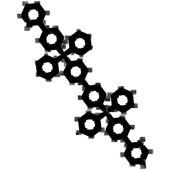 c1ccc([Si](c2ccccc2)(c2ccc(-c3ccc([Si](c4ccccc4)(c4ccccc4)c4ccc(-c5ccncn5)cc4)cc3)cc2)c2ccc(-c3ccccn3)cc2)cc1